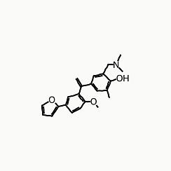 C=C(c1cc(C)c(O)c(CN(C)C)c1)c1cc(-c2ccco2)ccc1OC